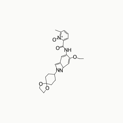 CCOc1cc2nn(C3CCC4(CC3)OCCO4)cc2cc1NC(=O)c1cccc(C)[n+]1[O-]